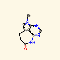 CCn1cc2c3c(ncnc31)NC(=O)CC2